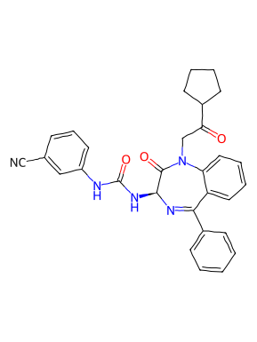 N#Cc1cccc(NC(=O)N[C@@H]2N=C(c3ccccc3)c3ccccc3N(CC(=O)C3CCCC3)C2=O)c1